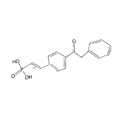 O=C(Cc1ccccc1)c1ccc(/C=C/P(=O)(O)O)cc1